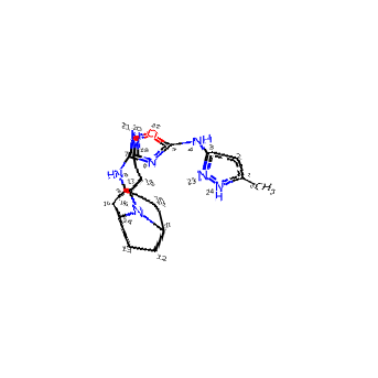 Cc1cc(Nc2nc(NC3CC4CCC(C3)N4CCC#N)no2)n[nH]1